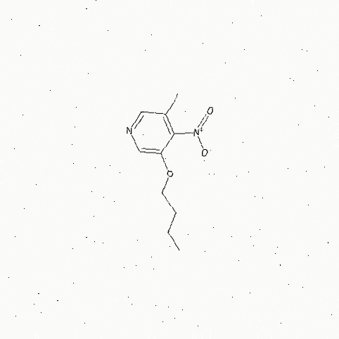 CCCCOc1cncc(C)c1[N+](=O)[O-]